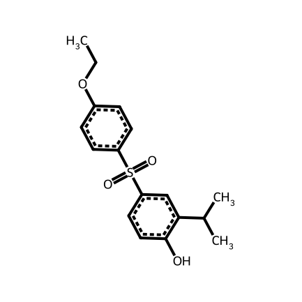 CCOc1ccc(S(=O)(=O)c2ccc(O)c(C(C)C)c2)cc1